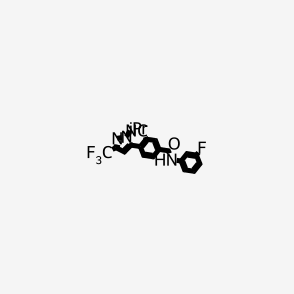 CC(C)n1nc(C(F)(F)F)cc1-c1ccc(C(=O)Nc2cccc(F)c2)cc1C#N